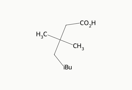 CCC(C)CC(C)(C)CC(=O)O